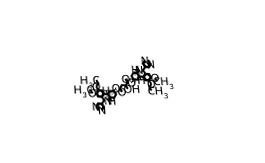 CCOc1cc2c(cc1OC)C(c1cncnc1)=N[C@H]1CC[C@H](OC(=O)CC(O)C(=O)O[C@H]3CC[C@@H]4N=C(c5cncnc5)c5cc(OC)c(OCC)cc5[C@@H]4C3)C[C@@H]21